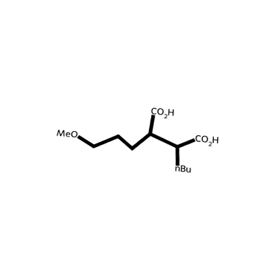 CCCCC(C(=O)O)C(CCCOC)C(=O)O